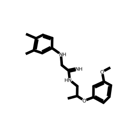 COc1cccc(OC(C)CNC(=N)CNc2ccc(C)c(C)c2)c1